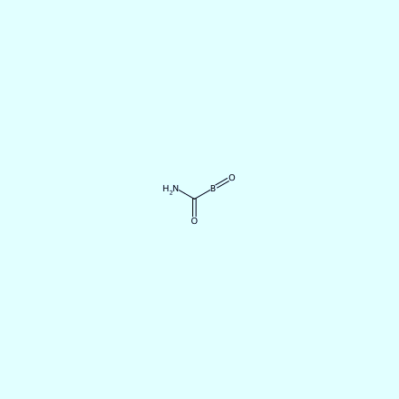 NC(=O)B=O